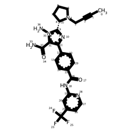 CC#CCN1CCC[C@H]1c1nc(-c2ccc(C(=O)Nc3cc(C(F)(F)F)ccn3)cc2)c(C(N)=O)n1N